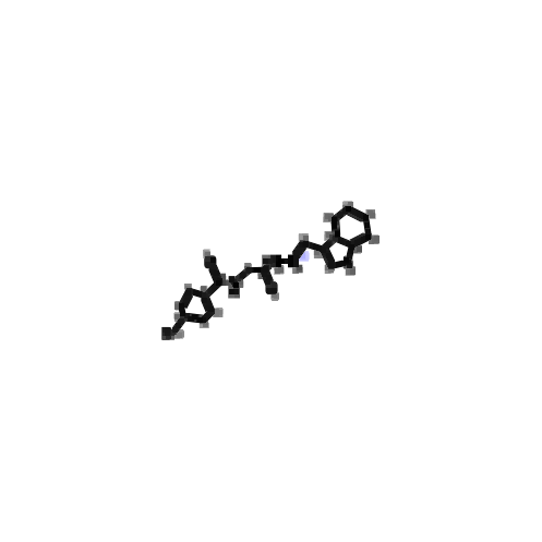 O=C(CNC(=O)c1ccc(Br)cc1)N/N=C/c1csc2ccccc12